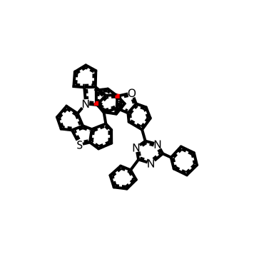 c1ccc(-c2nc(-c3ccccc3)nc(-c3ccc4oc5cccc(-c6cccc7sc8cccc(-n9c%10ccccc%10c%10ccccc%109)c8c67)c5c4c3)n2)cc1